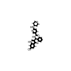 O=C(NC(c1ccccc1)c1c[nH]c2cc(Cl)ccc2c1=O)c1ccc(NC2CCOCC2)nc1